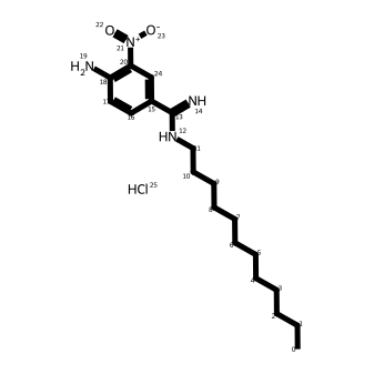 CCCCCCCCCCCCNC(=N)c1ccc(N)c([N+](=O)[O-])c1.Cl